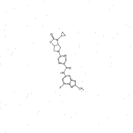 Cc1cn2cc(NC(=O)c3cnc(N4CC5OC(=O)N(C6CC6)C5C4)cn3)cc(F)c2n1